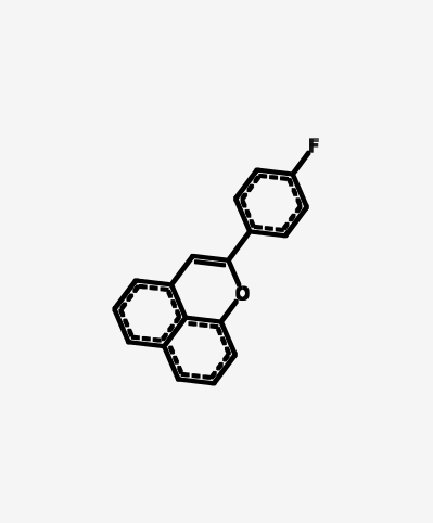 Fc1ccc(C2=Cc3cccc4cccc(c34)O2)cc1